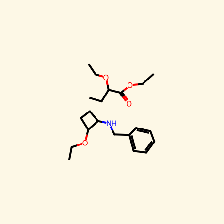 CCOC(=O)C(CC)OCC.CCOC1CCC1NCc1ccccc1